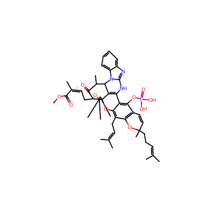 COC(=O)/C(C)=C\CC12OC(C)(C)C(C)C13Oc1c(CC=C(C)C)c4c(c(OP(=O)(O)O)c1C1=C3C(C(C)C2=O)n2c(nc3ccccc32)N1)C=CC(C)(CCC=C(C)C)O4